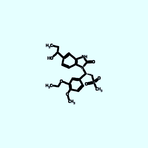 CCOc1cc([C@@H](CS(C)(=O)=O)n2c(=O)[nH]c3cc(C(O)CC)ccc32)ccc1OC